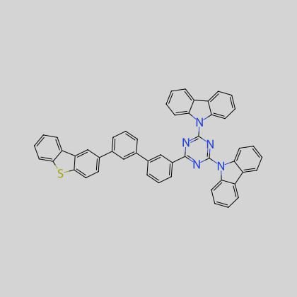 c1cc(-c2cccc(-c3nc(-n4c5ccccc5c5ccccc54)nc(-n4c5ccccc5c5ccccc54)n3)c2)cc(-c2ccc3sc4ccccc4c3c2)c1